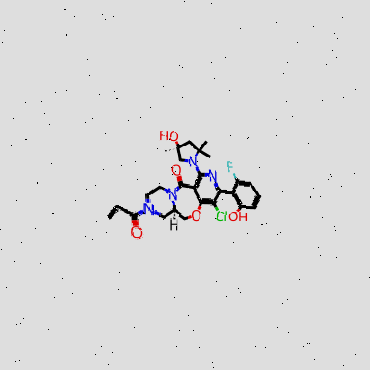 C=CC(=O)N1CCN2C(=O)c3c(N4C[C@@](C)(O)CC4(C)C)nc(-c4c(O)cccc4F)c(Cl)c3OC[C@H]2C1